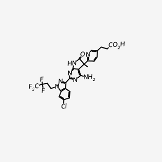 CC1(c2ccc(CCC(=O)O)cn2)C(=O)Nc2nc(-c3nn(CCC(F)(F)C(F)(F)F)c4cc(Cl)ccc34)nc(N)c21